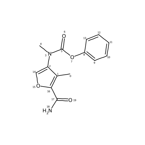 Cc1c(N(C)C(=O)Oc2ccccc2)coc1C(N)=O